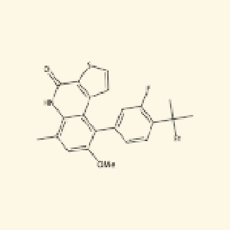 CCC(C)(C)c1ccc(-c2c(OC)cc(C)c3[nH]c(=O)c4sccc4c23)cc1F